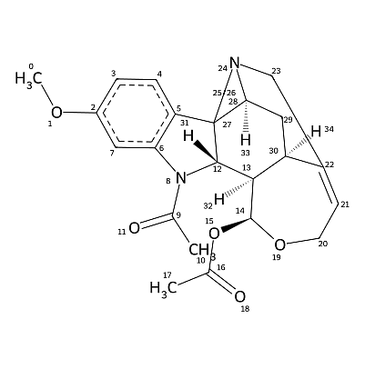 COc1ccc2c(c1)N(C(C)=O)[C@H]1[C@@H]3[C@H](OC(C)=O)OCC=C4CN5CCC21[C@@H]5C[C@@H]43